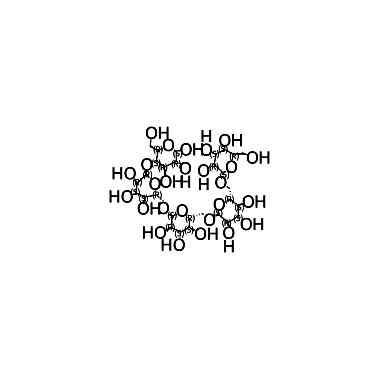 OC[C@H]1O[C@H](OC[C@H]2O[C@H](OC[C@H]3O[C@H](OC[C@H]4O[C@H](O[C@H]5[C@H](O)[C@@H](O)[C@@H](O)O[C@@H]5CO)[C@H](O)[C@@H](O)[C@@H]4O)[C@H](O)[C@@H](O)[C@@H]3O)[C@H](O)[C@@H](O)[C@@H]2O)[C@H](O)[C@@H](O)[C@@H]1O